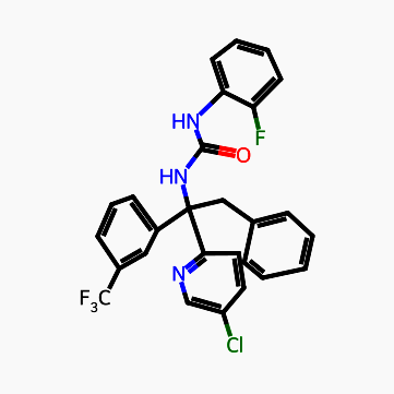 O=C(Nc1ccccc1F)NC(Cc1ccccc1)(c1cccc(C(F)(F)F)c1)c1ccc(Cl)cn1